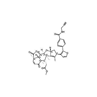 C#CCNC(=O)c1ccc(-c2occc2[C@@H]2C[C@H]3O[C@@H]4[C@@H]5OC(=O)[C@]6(C)C=CC(=O)[C@](C)([C@@H](CC(=O)OC)[C@]4(C)C3=C2C)[C@@H]56)cc1